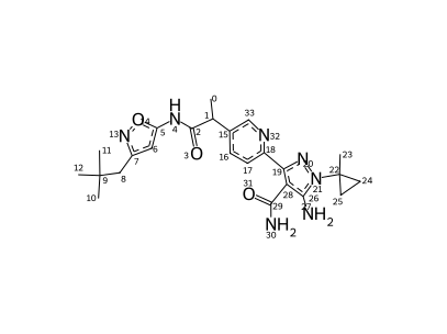 CC(C(=O)Nc1cc(CC(C)(C)C)no1)c1ccc(-c2nn(C3(C)CC3)c(N)c2C(N)=O)nc1